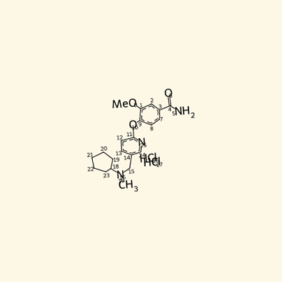 COc1cc(C(N)=O)ccc1Oc1ccc(CN(C)C2CCCCC2)cn1.Cl.Cl